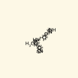 Cc1nc(NCCc2cccc(OCc3cc[nH]n3)c2)cc(-c2ccc3ncsc3c2)n1